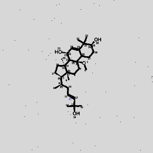 CO[C@@]12CC[C@]3(C)[C@@H]([C@H](C)C/C=C/C(C)(C)O)CC[C@@]3(C)C1[C@@H](O)C=C1C2CC[C@H](O)C1(C)C